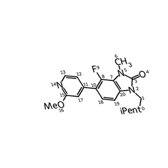 CCCC(C)Cn1c(=O)n(C)c2c(F)c(-c3ccnc(OC)c3)ccc21